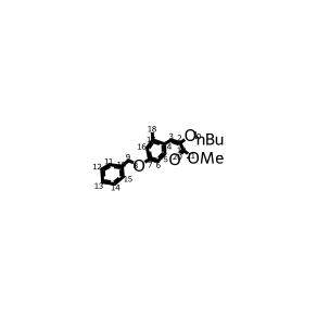 CCCCO/C(=C/c1ccc(OCc2ccccc2)cc1C)C(=O)OC